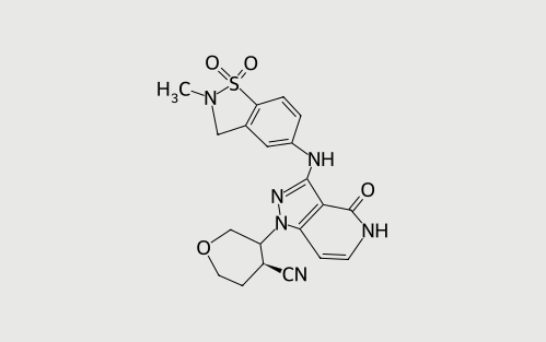 CN1Cc2cc(Nc3nn(C4COCC[C@@H]4C#N)c4cc[nH]c(=O)c34)ccc2S1(=O)=O